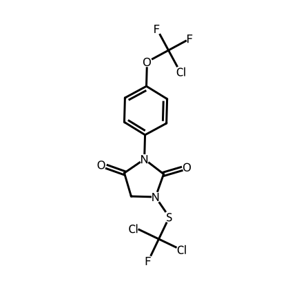 O=C1CN(SC(F)(Cl)Cl)C(=O)N1c1ccc(OC(F)(F)Cl)cc1